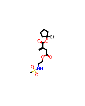 C=C(CC(=O)OCCNS(C)(=O)=O)C(=O)OC1(CC)CCCC1